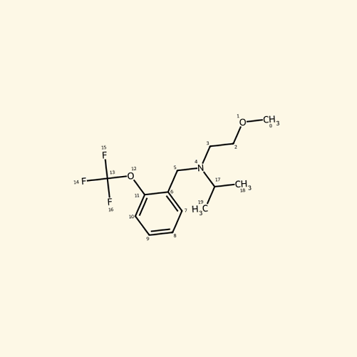 COCCN(Cc1ccccc1OC(F)(F)F)C(C)C